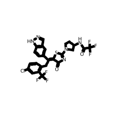 O=C1N=C(N2CCC(NC(=O)C(F)(F)F)C2)SC1=C(Cc1ccc(Cl)cc1C(F)(F)F)c1ccc2[nH]ncc2c1